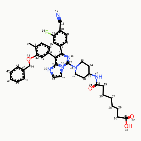 Cc1ccc(-c2c(-c3ccc(C#N)c(F)c3)nc(N3CCC(NC(=O)CCCCCCC(=O)O)CC3)n3ccnc23)cc1OCc1ccccc1